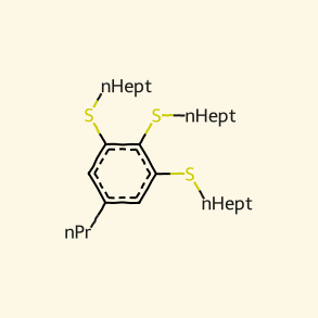 [CH2]CCc1cc(SCCCCCCC)c(SCCCCCCC)c(SCCCCCCC)c1